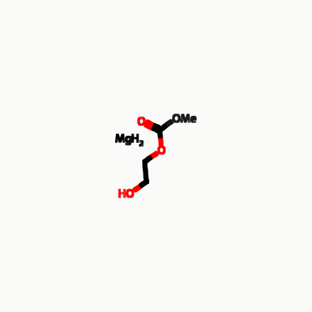 COC(=O)OCCO.[MgH2]